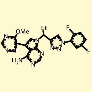 CCC(c1cn(-c2cc(F)ccc2F)nn1)n1cc(-c2cncnc2OC)c2c(N)ncnc21